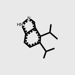 CC(C)c1ccc2[nH]ncc2c1C(C)C